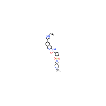 CN1CCC2(CC1)CN(S(=O)(=O)c1cccc(C(=O)Nc3cc4cc(-c5cnn(C)c5)ccc4cn3)c1)C2